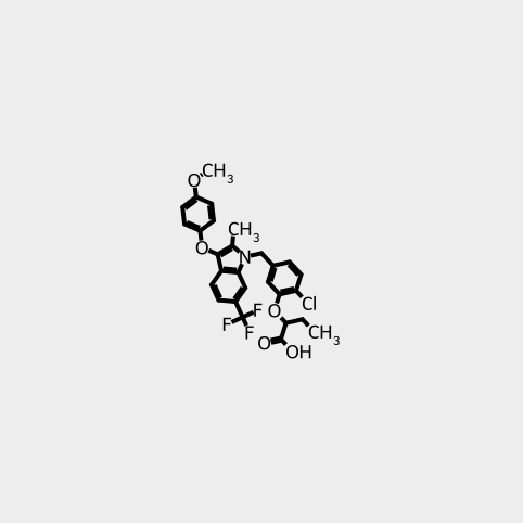 CCC(Oc1cc(Cn2c(C)c(Oc3ccc(OC)cc3)c3ccc(C(F)(F)F)cc32)ccc1Cl)C(=O)O